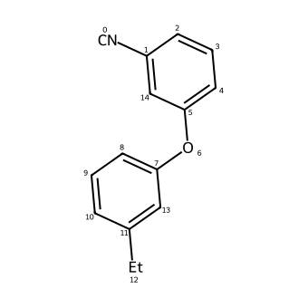 [C-]#[N+]c1cccc(Oc2cccc(CC)c2)c1